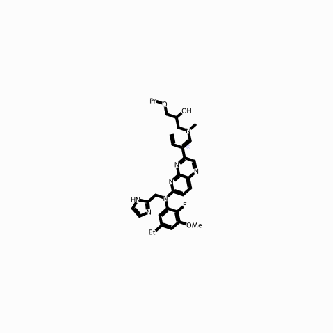 C=C/C(=C\N(C)CC(O)COC(C)C)c1cnc2ccc(N(Cc3ncc[nH]3)c3cc(CC)cc(OC)c3F)nc2n1